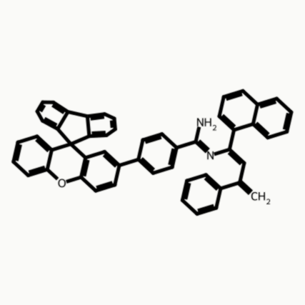 C=C(/C=C(\N=C(/N)c1ccc(-c2ccc3c(c2)C2(c4ccccc4O3)c3ccccc3-c3ccccc32)cc1)c1cccc2ccccc12)c1ccccc1